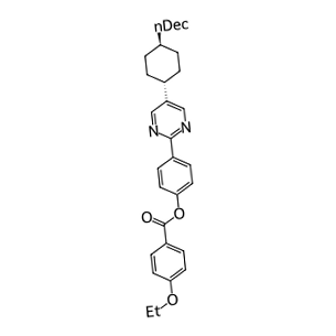 CCCCCCCCCC[C@H]1CC[C@H](c2cnc(-c3ccc(OC(=O)c4ccc(OCC)cc4)cc3)nc2)CC1